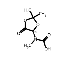 CN(C(=O)O)[C@@H]1OC(C)(C)OC1=O